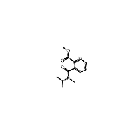 COC(=O)c1ncccc1C(=O)N(C)C(C)C